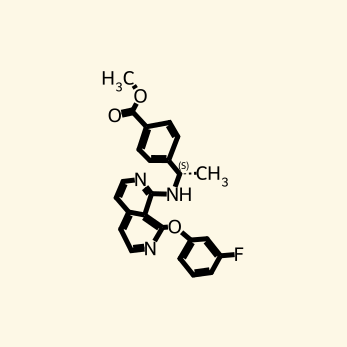 COC(=O)c1ccc([C@H](C)Nc2nccc3ccnc(Oc4cccc(F)c4)c23)cc1